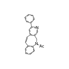 CC(=O)N1Cc2cnc(-c3ccccc3)cc2C=Cc2ccccc21